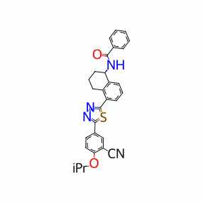 CC(C)Oc1ccc(-c2nnc(-c3cccc4c3CCC[C@H]4NC(=O)c3ccccc3)s2)cc1C#N